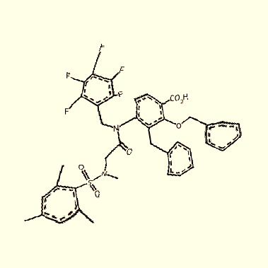 Cc1cc(C)c(S(=O)(=O)N(C)CC(=O)N(Cc2c(F)c(F)c(F)c(F)c2F)c2ccc(C(=O)O)c(OCc3ccccc3)c2Cc2ccccc2)c(C)c1